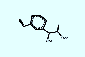 C=Cc1cccc(C(OC(C)=O)C(C)OC(C)=O)c1